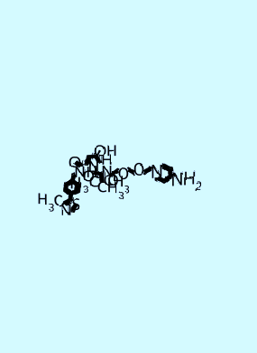 Cc1ncsc1-c1ccc(CNC(=O)[C@@H]2C[C@@H](O)CN2C(=O)[C@@H](NC(=O)COCCOCCN2CCC(N)CC2)C(C)(C)C)cc1